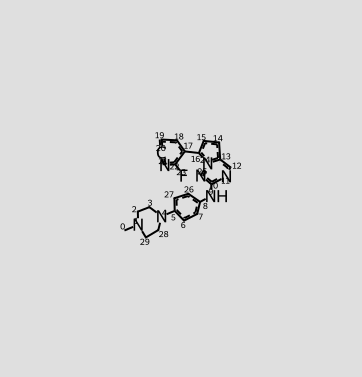 CN1CCN(c2ccc(Nc3ncc4ccc(-c5cccnc5F)n4n3)cc2)CC1